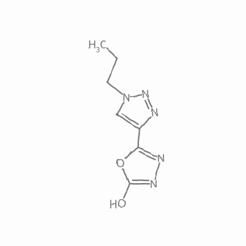 CCCn1cc(-c2nnc(O)o2)nn1